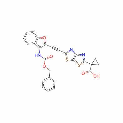 O=C(Nc1c(C#Cc2nc3nc(C4(C(=O)O)CC4)sc3s2)oc2ccccc12)OCc1ccccc1